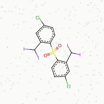 O=S(=O)(c1ccc(Cl)cc1C(I)I)c1ccc(Cl)cc1C(I)I